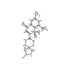 CC1COC2(CCN(C3=NC(=O)c4cc(C(F)(F)F)cc([N+](=O)[O-])c4S3(=O)=O)CC2)O1